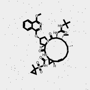 CC[C@@H]1C[C@H](C)CC/C=C\[C@@H]2C[C@@]2(C(=O)NS(=O)(=O)C2(C)CC2)NC(=O)[C@@H]2C[C@@H](Oc3nnc(OC)c4ccccc34)CN2C(=O)[C@H]1NC(=O)NC(C)(C)C